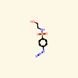 [N-]=[N+]=Nc1ccc(S(=O)(=O)NCCO)cc1